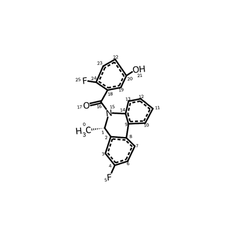 C[C@H]1c2cc(F)ccc2-c2ccccc2N1C(=O)c1cc(O)ccc1F